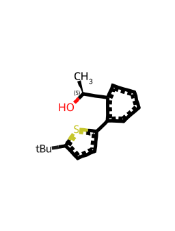 C[C@H](O)c1ccccc1-c1ccc(C(C)(C)C)s1